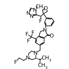 CC(C)[C@H]1CN(CCF)CCN1Cc1cc2c(c(C(F)(F)F)c1)CN(c1cccc(C3([C@@H](F)c4nncn4C)COC3)c1)C2=O